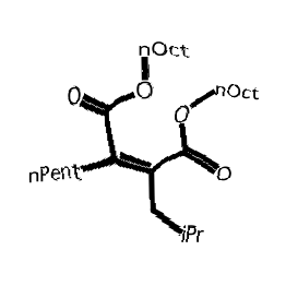 CCCCCCCCOC(=O)C(CCCCC)=C(CC(C)C)C(=O)OCCCCCCCC